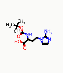 CC(C)(C)OC(=O)NC(CCn1ccnc1N)C(=O)O